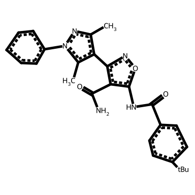 Cc1nn(-c2ccccc2)c(C)c1-c1noc(NC(=O)c2ccc(C(C)(C)C)cc2)c1C(N)=O